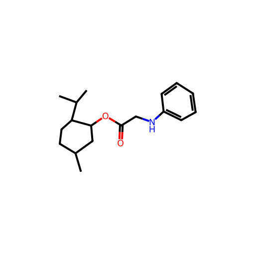 CC1CCC(C(C)C)C(OC(=O)CNc2ccccc2)C1